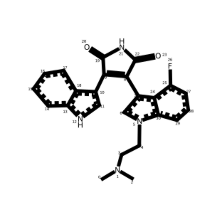 CN(C)CCn1cc(C2=C(c3c[nH]c4ccccc34)C(=O)NC2=O)c2c(F)cccc21